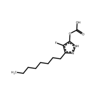 CCCCCCCCc1n[nH]c(OC(=O)O)c1F